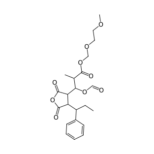 CCC(c1ccccc1)C1C(=O)OC(=O)C1C(OC=O)C(C)C(=O)OCOCCOC